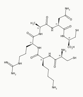 C[C@H](NC(=O)[C@H](CCCNC(=N)N)NC(=O)[C@H](CCCCN)NC(=O)[C@@H](N)CS)C(=O)N[C@@H](CC(N)=O)C(=O)N[C@@H](CS)C(=O)O